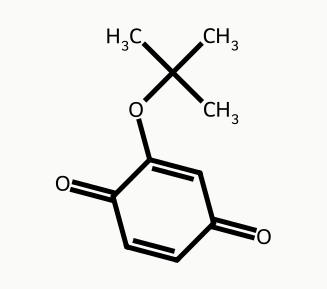 CC(C)(C)OC1=CC(=O)C=CC1=O